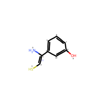 N/C(=C\S)c1cccc(O)c1